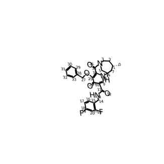 C[C@H]1CCN2C[C@H](C1)n1cc(C(=O)NCc3ccc(F)cc3F)c(=O)c(OCc3ccccc3)c1C2=O